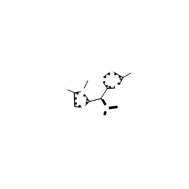 Cc1nnc(C(c2ncc([N+](=O)[O-])n2C)=S(=O)=O)o1